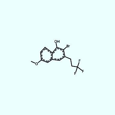 COc1ccc2c(O)c(Br)c(CCC(F)(F)F)cc2c1